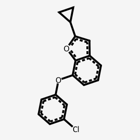 Clc1cccc(Oc2cccc3cc(C4CC4)oc23)c1